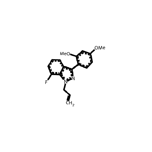 C=CCn1nc(-c2ccc(OC)cc2OC)c2cccc(F)c21